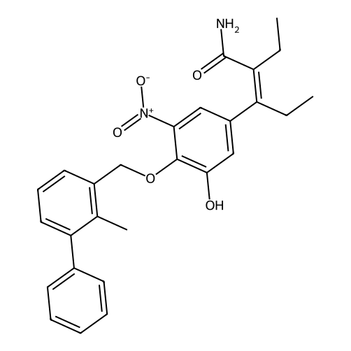 CCC(C(N)=O)=C(CC)c1cc(O)c(OCc2cccc(-c3ccccc3)c2C)c([N+](=O)[O-])c1